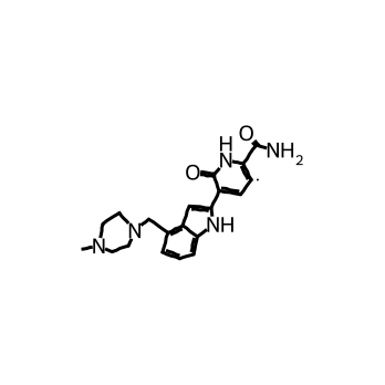 CN1CCN(Cc2cccc3[nH]c(-c4c[c]c(C(N)=O)[nH]c4=O)cc23)CC1